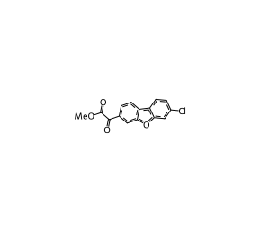 COC(=O)C(=O)c1ccc2c(c1)oc1cc(Cl)ccc12